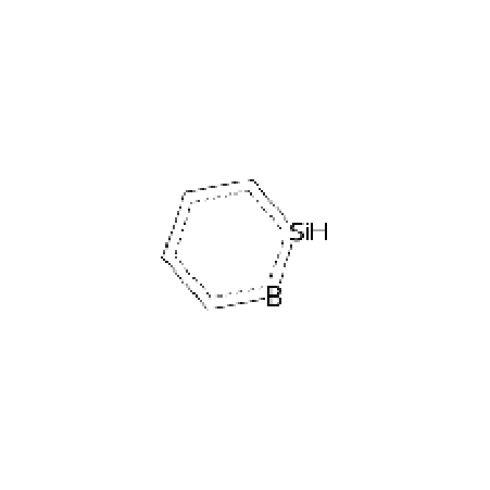 b1cccc[siH]1